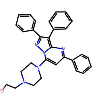 OCCN1CCN(c2cc(-c3ccccc3)nc3c(-c4ccccc4)c(-c4ccccc4)nn23)CC1